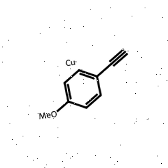 [C]#Cc1ccc(OC)cc1.[Cu]